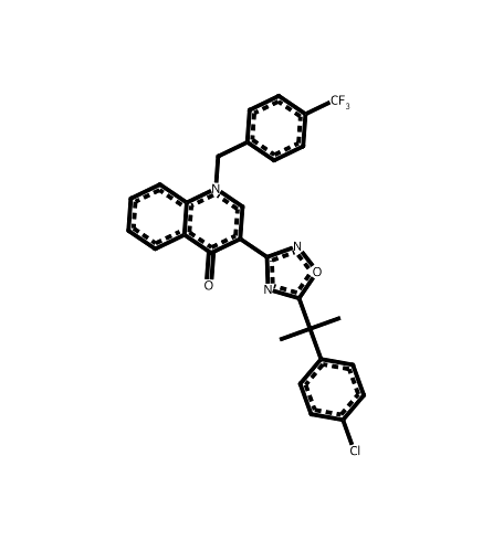 CC(C)(c1ccc(Cl)cc1)c1nc(-c2cn(Cc3ccc(C(F)(F)F)cc3)c3ccccc3c2=O)no1